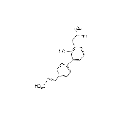 CCCCC(CC)Cc1cccc(-c2ccc(C=CC(=O)O)cc2)c1C#N